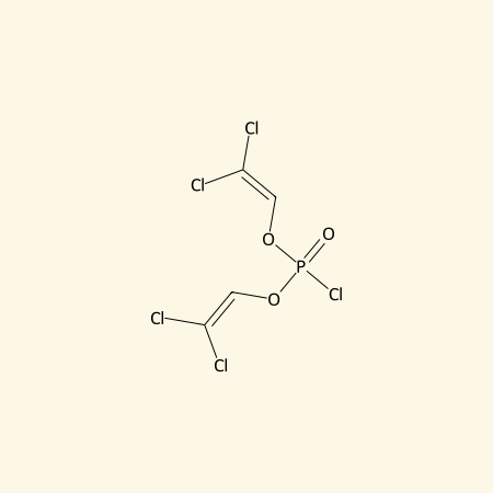 O=P(Cl)(OC=C(Cl)Cl)OC=C(Cl)Cl